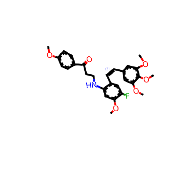 COc1ccc(C(=O)CCNc2cc(OC)c(F)cc2/C=C\c2cc(OC)c(OC)c(OC)c2)cc1